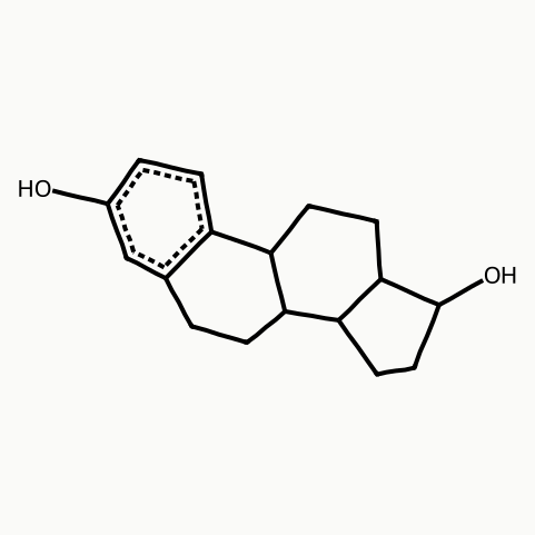 Oc1ccc2c(c1)CCC1C2CCC2C(O)CCC21